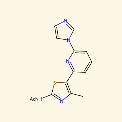 CC(=O)Nc1nc(C)c(-c2cccc(-n3ccnc3)n2)s1